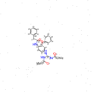 COC(=O)N=C(NC(=O)OC)Nc1ccc(NC(=O)Cc2ccccc2)c(Oc2ccccc2)c1